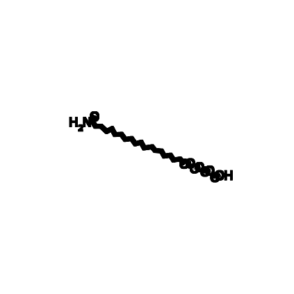 NC(=O)CCCCCCCCCCCCCCCCCCOOOOOOOO